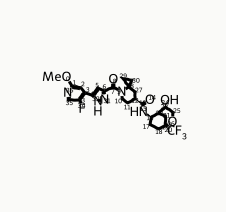 COc1cc(-c2cc(C(=O)N3CC[C@H](C(=O)N[C@@H]4CC[C@]5(C(F)(F)F)CC4[C@H](O)CO5)CC34CC4)n[nH]2)c(F)cn1